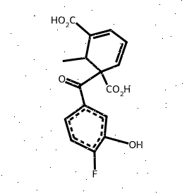 CC1C(C(=O)O)=CC=CC1(C(=O)O)C(=O)c1ccc(F)c(O)c1